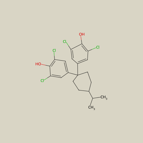 CC(C)C1CCC(c2cc(Cl)c(O)c(Cl)c2)(c2cc(Cl)c(O)c(Cl)c2)CC1